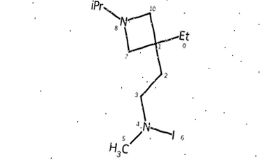 CCC1(CCN(C)I)CN(C(C)C)C1